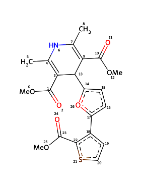 COC(=O)C1=C(C)NC(C)=C(C(=O)OC)C1c1ccc(-c2ccsc2C(=O)OC)o1